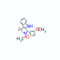 COc1cccc(C2c3[nH]c4ccccc4c3C3(CC3)CN2C(C)=O)c1